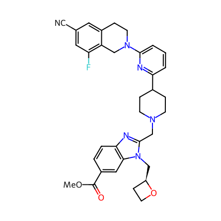 COC(=O)c1ccc2nc(CN3CCC(c4cccc(N5CCc6cc(C#N)cc(F)c6C5)n4)CC3)n(C[C@@H]3CCO3)c2c1